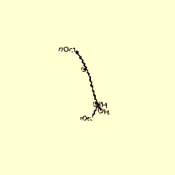 CCCCCCCCC=CCCCCCCCC(=O)CCCCCCCCCCCCCCCC(=O)NC(CO)CCCCCCCCCCCCCCCC